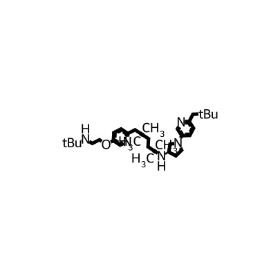 CC(C)(C)Cc1ccc(N2CC[C@@H](NC(C)(C)CCC(C)(C)Cc3ccc(OCCNC(C)(C)C)cn3)C2)cn1